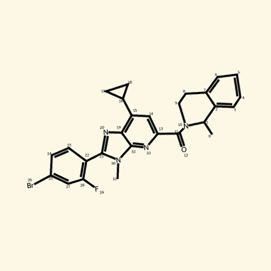 CC1c2ccccc2CCN1C(=O)c1cc(C2CC2)c2nc(-c3ccc(Br)cc3F)n(C)c2n1